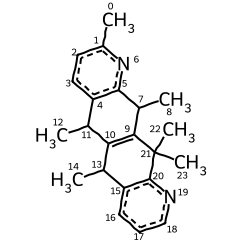 Cc1ccc2c(n1)C(C)C1=C(C2C)C(C)c2cccnc2C1(C)C